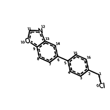 ClCc1ccc(-c2ccc3ocnc3c2)cc1